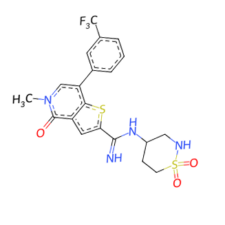 Cn1cc(-c2cccc(C(F)(F)F)c2)c2sc(C(=N)NC3CCS(=O)(=O)NC3)cc2c1=O